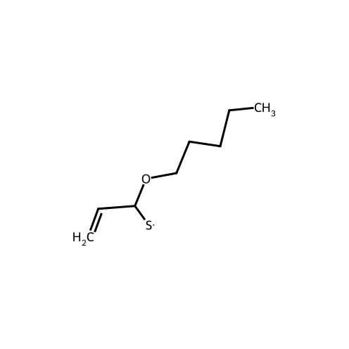 C=CC([S])OCCCCC